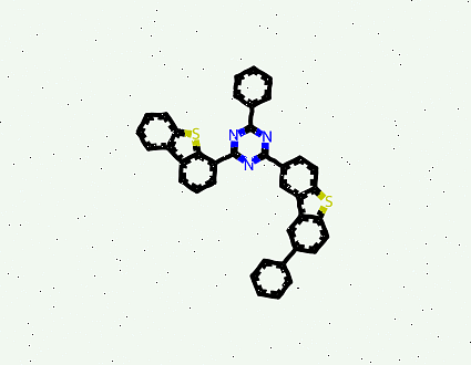 c1ccc(-c2ccc3sc4ccc(-c5nc(-c6ccccc6)nc(-c6cccc7c6sc6ccccc67)n5)cc4c3c2)cc1